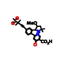 COC1CC(C)(C)N2C1c1cc(C#CC(C)(C)S(C)(=O)=O)ccc1-c1cc(=O)c(C(=O)O)cn12